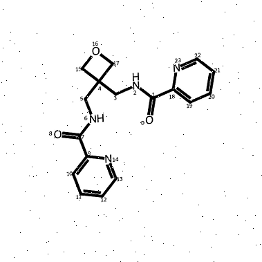 O=C(NCC1(CNC(=O)c2ccccn2)COC1)c1ccccn1